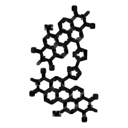 [C-]#[N+]c1cc2c3c(ccc4c5c(-c6ccc(-c7ccc(-c8cc9c%10c(ccc%11c%12c(C#N)cc%13c%14c(ccc(c8c%10%11)c%14%12)C(=O)N(C)C%13=O)C(=O)N(C)C9=O)s7)s6)cc6c7c(ccc(c1c34)c75)C(=O)N(C)C6=O)C(=O)N(C)C2=O